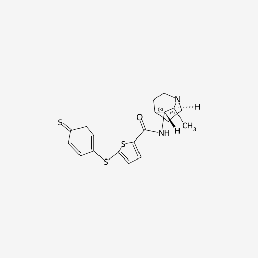 C[C@H]1[C@H](NC(=O)c2ccc(SC3=CCC(=S)C=C3)s2)C2CCN1CC2